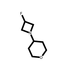 FC1CN(C2CCOCC2)C1